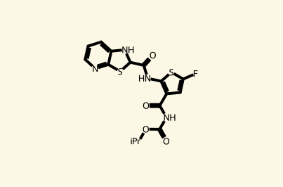 CC(C)OC(=O)NC(=O)c1cc(F)sc1NC(=O)C1Nc2cccnc2S1